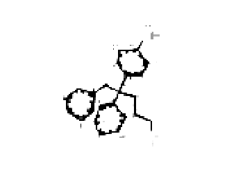 OCCCC(Cc1ccccc1)(c1ccccc1)c1ccc(O)cc1